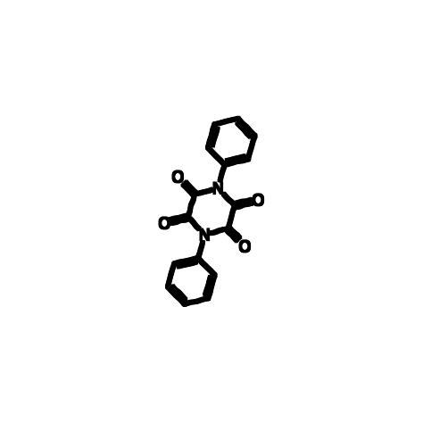 O=C1C(=O)N(c2ccccc2)C(=O)C(=O)N1c1ccccc1